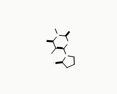 Cl.Cn1c(=O)[nH]c(N2CCCC2=N)c(Cl)c1=O